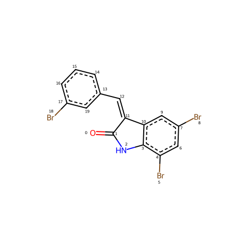 O=C1Nc2c(Br)cc(Br)cc2C1=Cc1cccc(Br)c1